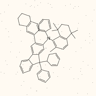 Cc1ccc2c(c1N(c1ccccc1)c1cc3c(cc1-c1ccc4c(c1)CCCC4)-c1ccccc1C3(c1ccccc1)C1C=CC=CC1)C(C)(C)CCC2(C)C